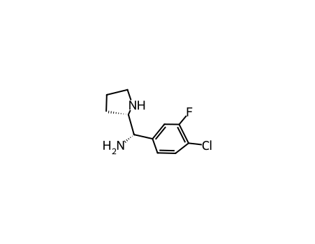 N[C@@H](c1ccc(Cl)c(F)c1)[C@@H]1CCCN1